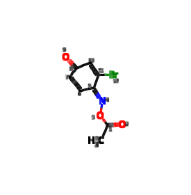 CC(=O)ON=C1C=CC(=O)C=C1Br